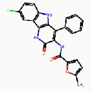 Cc1ccc(C(=O)Nc2c(-c3ccccc3)c3[nH]c4ccc(Cl)cc4c3[nH]c2=O)o1